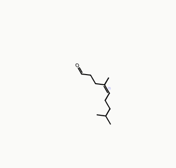 C/C(=C/CCC(C)C)CCC=O